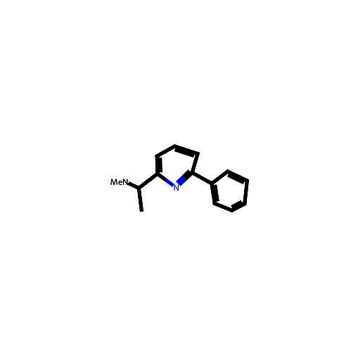 CNC(C)c1cccc(-c2ccccc2)n1